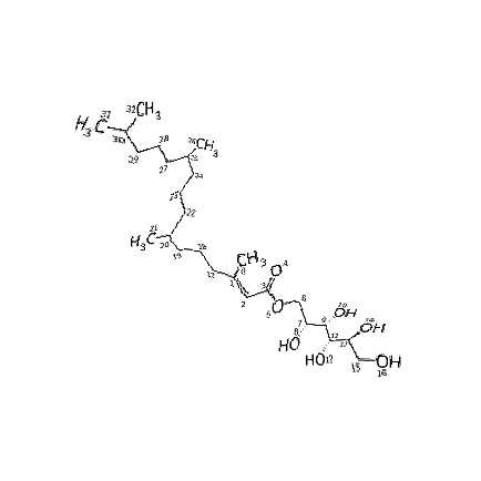 C/C(=C\C(=O)OC[C@@H](O)[C@H](O)[C@@H](O)[C@@H](O)CO)CCCC(C)CCCC(C)CCCC(C)C